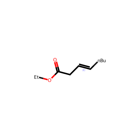 CCCC/C=C/CC(=O)OCC